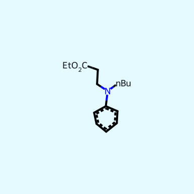 CCCCN(CCC(=O)OCC)c1ccccc1